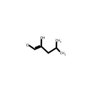 CC(C)CC(O)=CCl